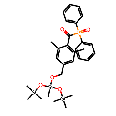 Cc1cc(CO[Si](C)(O[Si](C)(C)C)O[Si](C)(C)C)cc(C)c1C(=O)P(=O)(c1ccccc1)c1ccccc1